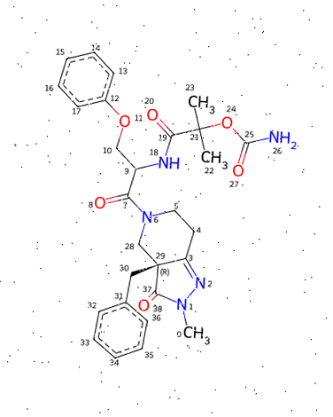 CN1N=C2CCN(C(=O)C(COc3ccccc3)NC(=O)C(C)(C)OC(N)=O)C[C@@]2(Cc2ccccc2)C1=O